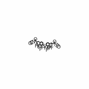 O=C(/C=C/c1ccc(Sc2ccc(/C=C/C(=O)N3CCOCC3)c(C(F)(F)F)c2C(F)(F)F)c(C(F)(F)F)c1C(F)(F)F)N1CCOCC1